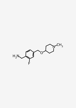 CN1CCC(OCc2ccc(CN)c(F)c2)CC1